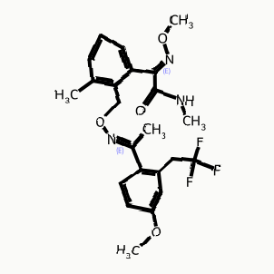 CNC(=O)/C(=N/OC)c1cccc(C)c1CO/N=C(\C)c1ccc(OC)cc1CC(F)(F)F